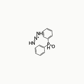 N=[N+]=N.O=[PH](c1ccccc1)c1ccccc1